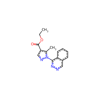 CCOC(=O)c1cnn(-c2nncc3ccccc23)c1C